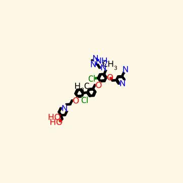 Cc1c(COc2cc(OCc3cncc(C#N)c3)c(CN(C)Cc3ncn[nH]3)cc2Cl)cccc1-c1cccc(OCCCN2CCC(O)(CO)CC2)c1Cl